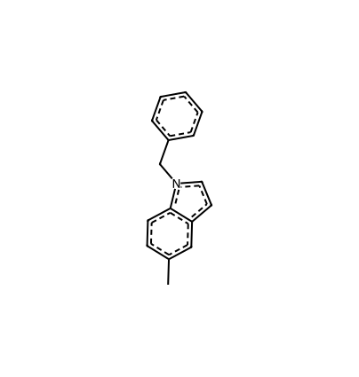 Cc1ccc2c(ccn2Cc2ccccc2)c1